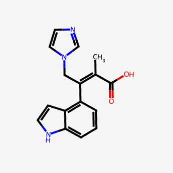 CC(C(=O)O)=C(Cn1ccnc1)c1cccc2[nH]ccc12